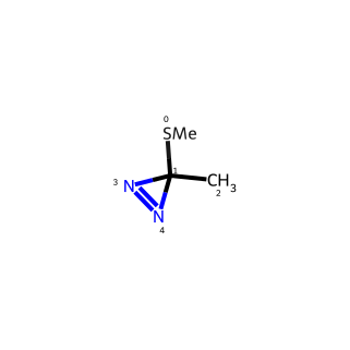 CSC1(C)N=N1